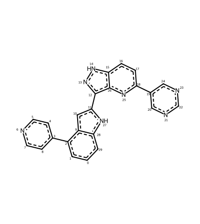 c1cc(-c2ccncc2)c2cc(-c3n[nH]c4ccc(-c5cncnc5)nc34)[nH]c2c1